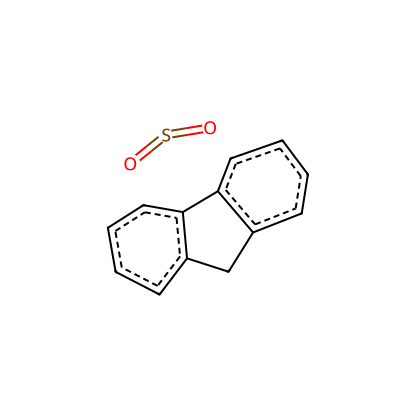 O=S=O.c1ccc2c(c1)Cc1ccccc1-2